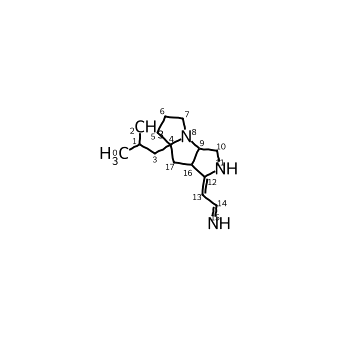 CC(C)CC12CCCN1C1CN/C(=C\C=N)C1C2